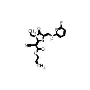 C=CCOC(=O)C(C#N)=c1sc(=CNc2cccc(F)n2)c(=O)n1CC